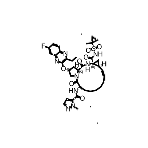 CCc1nc2ccc(F)cc2nc1O[C@@H]1C[C@H]2C(=O)N[C@]3(C(=O)NS(=O)(=O)C4(C)CC4)C[C@H]3C=CCCCCC[C@H](NC(=O)c3ccnn3C)C(=O)N2C1